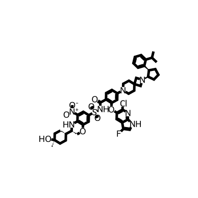 CC(C)c1ccccc1[C@H]1CCC[C@H]1N1CC2(CCN(c3ccc(C(=O)NS(=O)(=O)c4cc5c(c([N+](=O)[O-])c4)N[C@@H]([C@H]4CC[C@](C)(O)CC4)CO5)c(Oc4cc5c(F)c[nH]c5nc4Cl)c3)CC2)C1